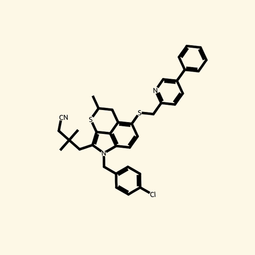 CC1Cc2c(SCc3ccc(-c4ccccc4)cn3)ccc3c2c(c(CC(C)(C)CC#N)n3Cc2ccc(Cl)cc2)S1